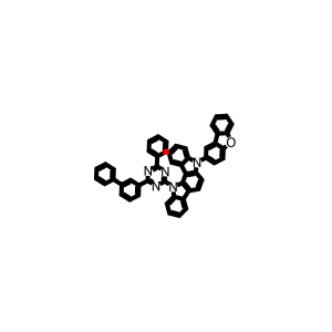 c1ccc(-c2cccc(-c3nc(-c4ccccc4)nc(-n4c5ccccc5c5ccc6c(c7ccccc7n6-c6ccc7oc8ccccc8c7c6)c54)n3)c2)cc1